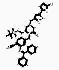 CC(C)(C)[Si](C)(C)OC[C@H]1CN(Cc2cc(-c3ccc(Cl)s3)on2)CC(=O)N1Cc1ccc(C#N)c(N=C(c2ccccc2)c2ccccc2)c1